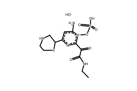 CCNC(=O)C(=O)c1nc(C2CNCCS2)cc(N)[n+]1OS(=O)(=O)O.[OH-]